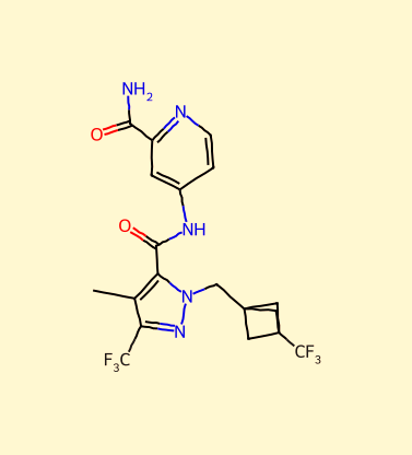 Cc1c(C(F)(F)F)nn(CC23CC(C(F)(F)F)(C2)C3)c1C(=O)Nc1ccnc(C(N)=O)c1